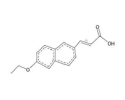 CCOc1ccc2cc(/C=C/C(=O)O)ccc2c1